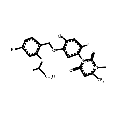 CCc1ccc(COc2cc(-n3c(=O)cc(C(F)(F)F)n(C)c3=O)c(F)cc2Cl)c(OC(C)C(=O)O)c1